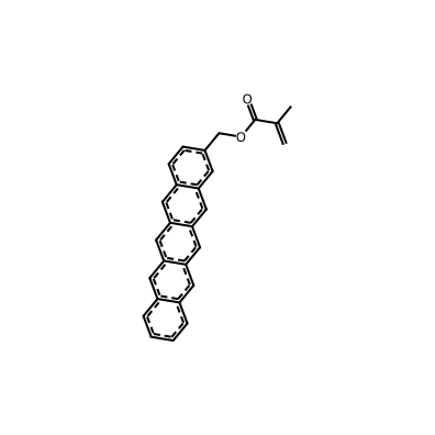 C=C(C)C(=O)OCc1ccc2cc3cc4cc5ccccc5cc4cc3cc2c1